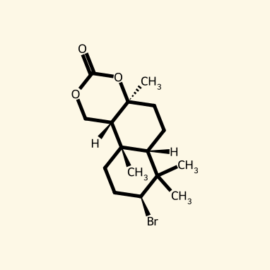 CC1(C)[C@H]2CC[C@]3(C)OC(=O)OC[C@H]3[C@@]2(C)CC[C@@H]1Br